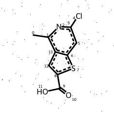 Cc1nc(Cl)cc2sc(C(=O)O)cc12